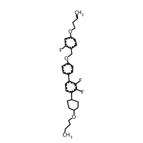 C=CCCOc1ccc(COc2ccc(-c3ccc(C4CCC(OCCCC)CC4)c(F)c3F)cc2)c(F)c1